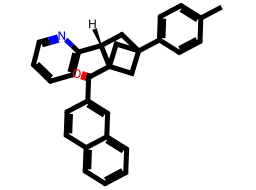 Cc1ccc(C23C[C@@H](c4ccccn4)C(C(=O)c4ccc5ccccc5c4)(C2)C3)cc1